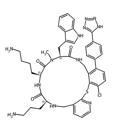 CN1C(=O)[C@H](CCCCN)NC(=O)[C@H](CCCN)NCc2cccnc2Sc2c(Cl)ccc(-c3ccc(-c4nnn[nH]4)cc3)c2CNC(=O)[C@@H]1Cc1c[nH]c2ccccc12